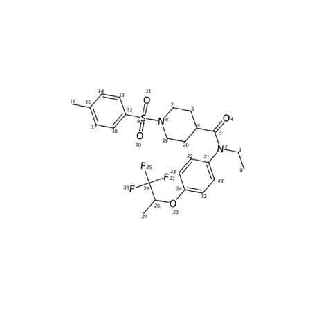 CCN(C(=O)C1CCN(S(=O)(=O)c2ccc(C)cc2)CC1)c1ccc(OC(C)C(F)(F)F)cc1